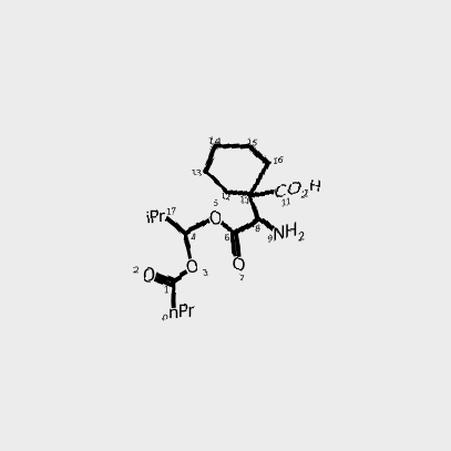 CCCC(=O)OC(OC(=O)C(N)C1(C(=O)O)CCCCC1)C(C)C